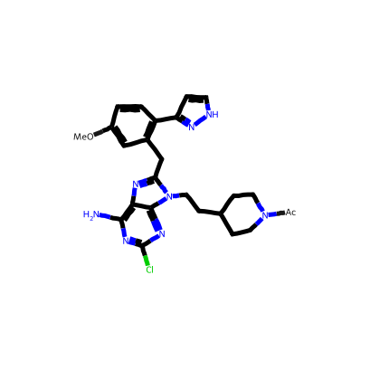 COc1ccc(-c2cc[nH]n2)c(Cc2nc3c(N)nc(Cl)nc3n2CCC2CCN(C(C)=O)CC2)c1